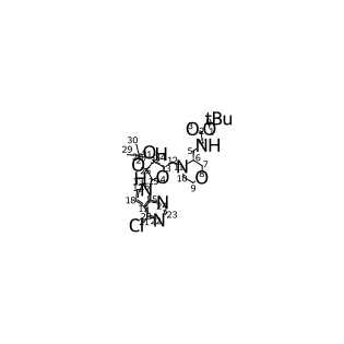 CC(C)(C)OC(=O)NC[C@H]1COCCN1C[C@H]1O[C@@H](n2ccc3c(Cl)ncnc32)[C@@H]2OC(C)(C)O[C@@H]21